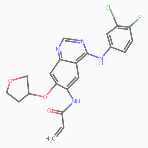 C=CC(=O)Nc1cc2c(Nc3ccc(F)c(Cl)c3)ncnc2cc1OC1CCOC1